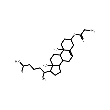 CC(C)CCCC(C)C1CCC2C3CC=C4CC(OC(=O)CN)CCC4(C)C3CCC12C